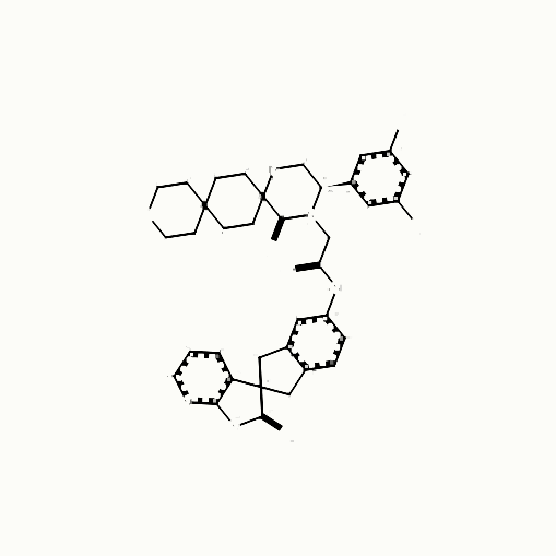 O=C(CN1C(=O)C2(CCC3(CCOCC3)CC2)NC[C@H]1c1cc(F)cc(F)c1)Nc1ccc2c(c1)CC1(C2)C(=O)Nc2ncccc21